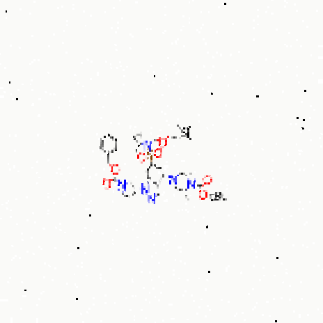 C[C@@H]1CN(c2cc(S(=O)(=O)N(COCC[Si](C)(C)C)C3(C)CC3)cc3c2cnn3C2CCN(C(=O)OCc3ccccc3)C2)C[C@H](C)N1C(=O)OC(C)(C)C